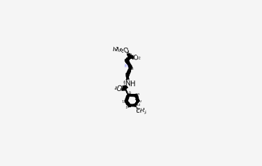 COC(=O)/C=C/CNC(=O)[C@H]1CC[C@H](C)CC1